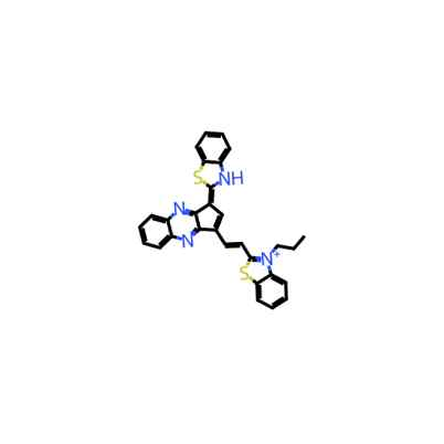 CCC[n+]1c(/C=C/C2=CC(=C3\Nc4ccccc4S3)/c3nc4ccccc4nc32)sc2ccccc21